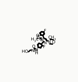 CC1COCCN1c1cc(-c2cc(F)ccc2S(C)(=O)=O)nc(-c2ccc(NC(=O)NCCO)cc2F)n1